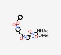 COC(=O)C(CNC(=O)[C@@H]1CCCN(C(=O)CCC2CCN(C(=O)OCc3ccccc3)CC2)C1)NC(C)=O